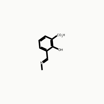 CN=Cc1cccc(C(=O)O)c1O